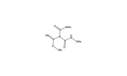 CCCCOC(=N)N(C(=O)NC)C(=O)NSC